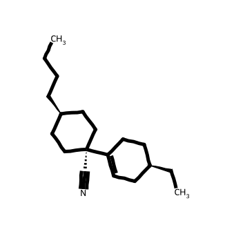 CCCC[C@H]1CC[C@@](C#N)(C2=CC[C@H](CC)CC2)CC1